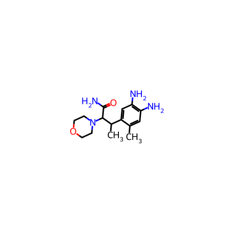 Cc1cc(N)c(N)cc1C(C)C(C(N)=O)N1CCOCC1